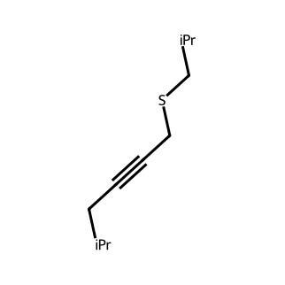 CC(C)CC#CCSCC(C)C